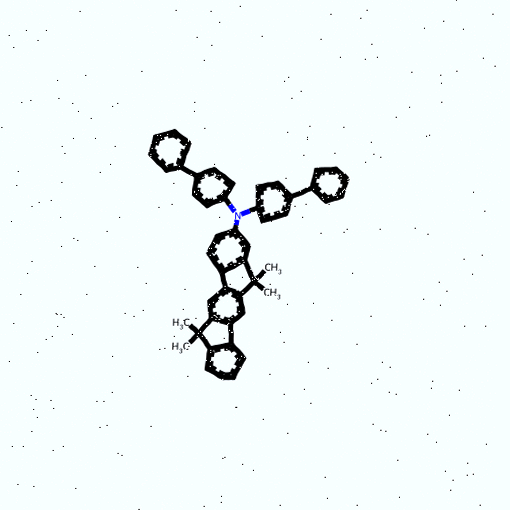 CC1(C)c2ccccc2-c2cc3c(cc21)-c1ccc(N(c2ccc(-c4ccccc4)cc2)c2ccc(-c4ccccc4)cc2)cc1C3(C)C